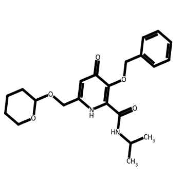 CC(C)NC(=O)c1[nH]c(COC2CCCCO2)cc(=O)c1OCc1ccccc1